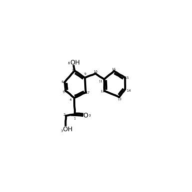 O=C(CO)c1ccc(O)c(Cc2ccccc2)c1